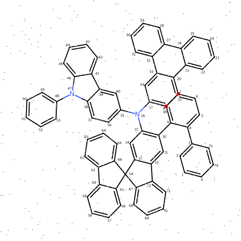 c1ccc(-c2ccccc2-c2cc3c(cc2N(c2ccc4c5ccccc5c5ccccc5c4c2)c2ccc4c(c2)c2ccccc2n4-c2ccccc2)C2(c4ccccc4-c4ccccc42)c2ccccc2-3)cc1